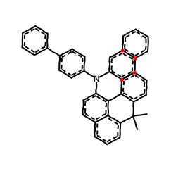 CC1(C)c2ccc(-c3ccccc3)cc2-c2c(N(c3ccccc3)c3ccc(-c4ccccc4)cc3)ccc3cccc1c23